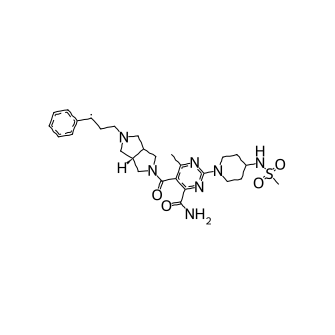 Cc1nc(N2CCC(NS(C)(=O)=O)CC2)nc(C(N)=O)c1C(=O)N1CC2CN(CC[CH]c3ccccc3)C[C@H]2C1